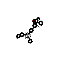 c1ccc(-c2nc(-c3ccc(-c4ccc5c(c4)Sc4ccccc4C54c5ccccc5-c5ccccc54)cc3)nc(-c3ccc4ccccc4c3)n2)cc1